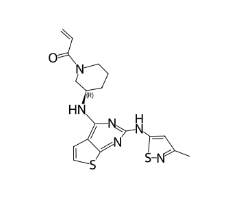 C=CC(=O)N1CCC[C@@H](Nc2nc(Nc3cc(C)ns3)nc3sccc23)C1